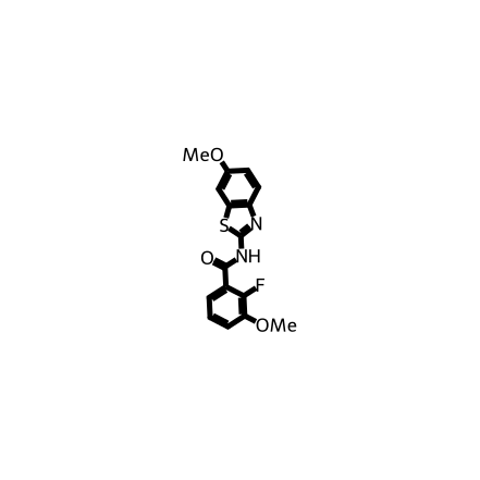 COc1ccc2nc(NC(=O)c3cccc(OC)c3F)sc2c1